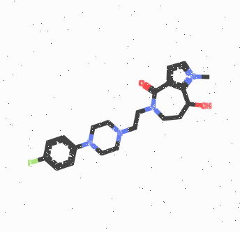 Cn1ccc2c1C(O)CCN(CCN1CCN(c3ccc(F)cc3)CC1)C2=O